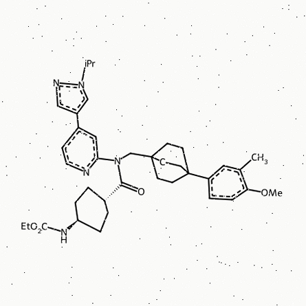 CCOC(=O)N[C@H]1CC[C@H](C(=O)N(CC23CCC(c4ccc(OC)c(C)c4)(CC2)CC3)c2cc(-c3cnn(C(C)C)c3)ccn2)CC1